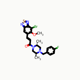 COc1c(/C=C/C(=O)N2C[C@H](C)N(Cc3ccc(F)cc3)C[C@H]2C)cc2nsnc2c1Br